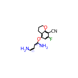 N#Cc1c(F)cc(O/C(N)=C/C=C\N)c2c1OCCC2